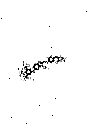 Cn1c(COc2ccc(C=C3SC(=O)NC3=O)cc2)nc2ccc(Sc3cc(C(C)(C)C)c(O)c(C(C)(C)C)c3)cc21